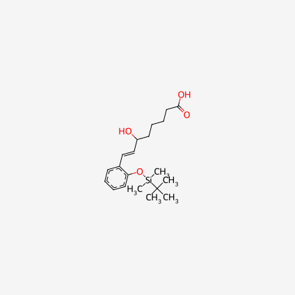 CC(C)(C)[Si](C)(C)Oc1ccccc1C=CC(O)CCCCC(=O)O